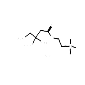 C[N+](C)(C)CCOC(=O)CC(O)(CC(=O)[O-])C(=O)[O-].[Co]